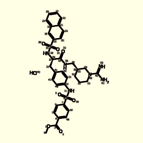 COC(=O)c1ccc(S(=O)(=O)Nc2ccc(C[C@@H](NS(=O)(=O)c3ccc4ccccc4c3)C(=O)NC[C@@H]3CCCN(C(=N)N)C3)cc2)cc1.Cl